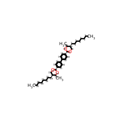 CCCCCCCC[C@H]1CO[C@H](c2ccc(-c3ccc([C@H]4OC[C@H](CCCCCCCC)[C@@H](C)O4)cc3)cc2)O[C@@H]1C